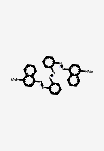 CNc1ccc(/N=N/c2ccccc2/N=N/c2ccccc2/N=N/c2ccc(NC)c3ccccc23)c2ccccc12